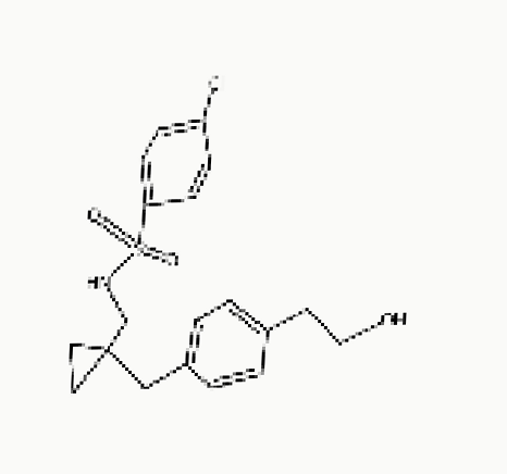 O=S(=O)(NCC1(Cc2ccc(CCO)cc2)CC1)c1ccc(Cl)cc1